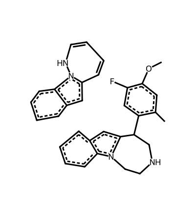 C1=CNn2c(cc3ccccc32)C=C1.COc1cc(C)c(C2CNCCn3c2cc2ccccc23)cc1F